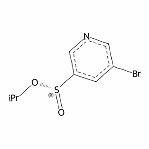 CC(C)O[S@@](=O)c1cncc(Br)c1